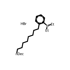 Br.CCCCCCCCCCCCCCCCCCc1ccccc1N(CC)CC